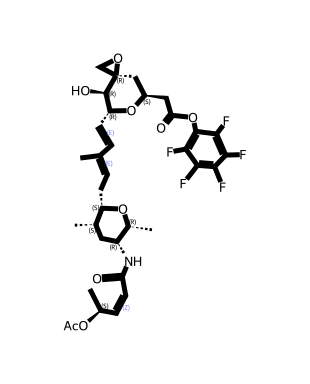 CC(=O)O[C@@H](C)/C=C\C(=O)N[C@@H]1C[C@H](C)[C@H](C/C=C(C)/C=C/[C@H]2O[C@H](CC(=O)Oc3c(F)c(F)c(F)c(F)c3F)C[C@@]3(CO3)[C@@H]2O)O[C@@H]1C